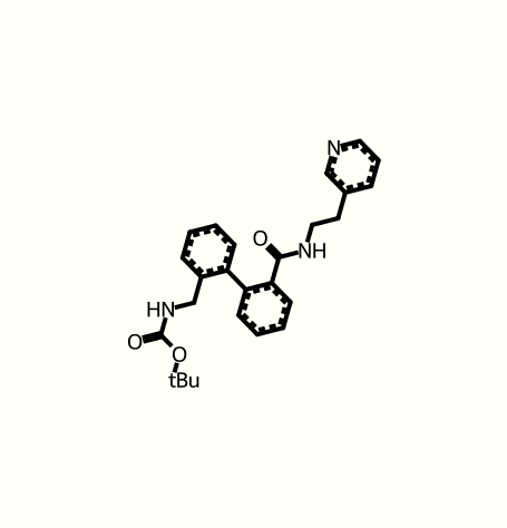 CC(C)(C)OC(=O)NCc1ccccc1-c1ccccc1C(=O)NCCc1cccnc1